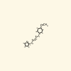 COc1ccc(CSSSCc2cccs2)cc1